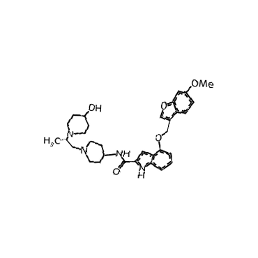 COc1ccc2c(COc3cccc4[nH]c(C(=O)NC5CCN(C[C@H](C)N6CCC(O)CC6)CC5)cc34)coc2c1